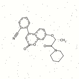 C[C@@H](Oc1ccc2c(-c3ccccc3C#N)cc(=O)oc2c1)C(=O)N1CCCCC1